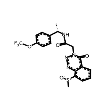 C[C@H](NC(=O)Cn1nnc2c([S+](C)[O-])cccc2c1=O)c1ccc(OC(F)(F)F)cc1